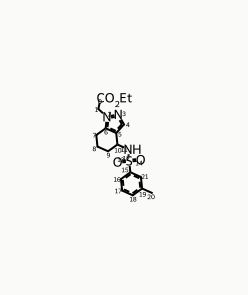 CCOC(=O)Cn1ncc2c1CCCC2NS(=O)(=O)c1cccc(C)c1